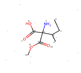 CCC(C)C(N)(C(=O)O)C(=O)OC